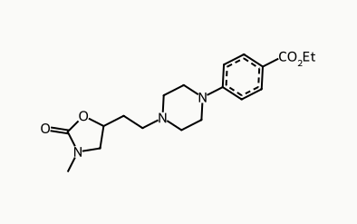 CCOC(=O)c1ccc(N2CCN(CCC3CN(C)C(=O)O3)CC2)cc1